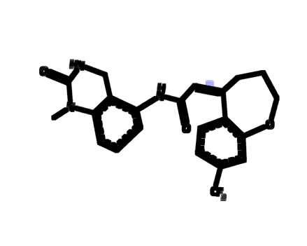 CN1C(=O)NCc2c(NC(=O)/C=C3/CCCOc4cc(C(F)(F)F)ccc43)cccc21